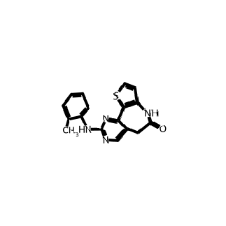 Cc1ccccc1Nc1ncc2c(n1)-c1sccc1NC(=O)C2